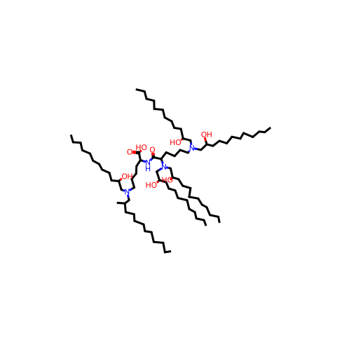 CCCCCCCCCCC(C)CN(CCCCC(NC(=O)C(CCCCN(CC(O)CCCCCCCCCC)CC(O)CCCCCCCCCC)N(CC(O)CCCCCCCCCC)CC(O)CCCCCCCCCC)C(=O)O)CC(O)CCCCCCCCCC